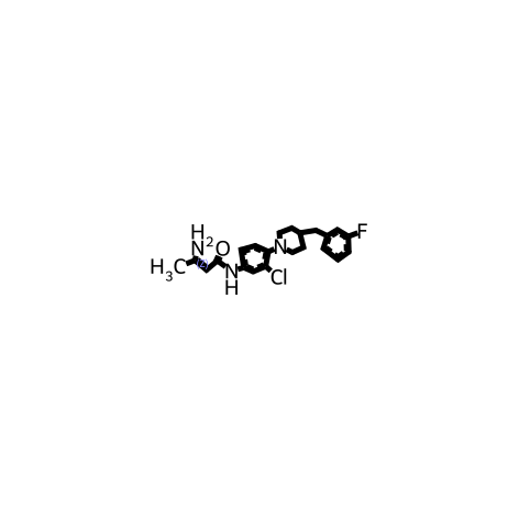 C/C(N)=C/C(=O)Nc1ccc(N2CCC(Cc3cccc(F)c3)CC2)c(Cl)c1